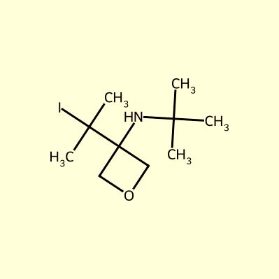 CC(C)(C)NC1(C(C)(C)I)COC1